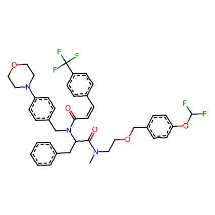 CN(CCOCc1ccc(OC(F)F)cc1)C(=O)C(Cc1ccccc1)N(Cc1ccc(N2CCOCC2)cc1)C(=O)C=Cc1ccc(C(F)(F)F)cc1